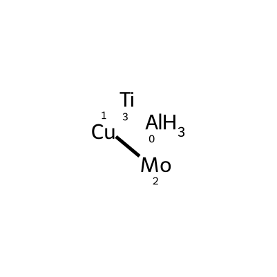 [AlH3].[Cu][Mo].[Ti]